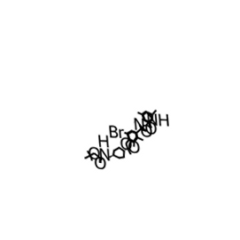 Cc1cc(C)c(N(C)C(=O)c2cc(Br)c3c(c2C)OC(C)([C@H]2CC[C@H](CNC(=O)OC(C)(C)C)CC2)O3)c(=O)[nH]1